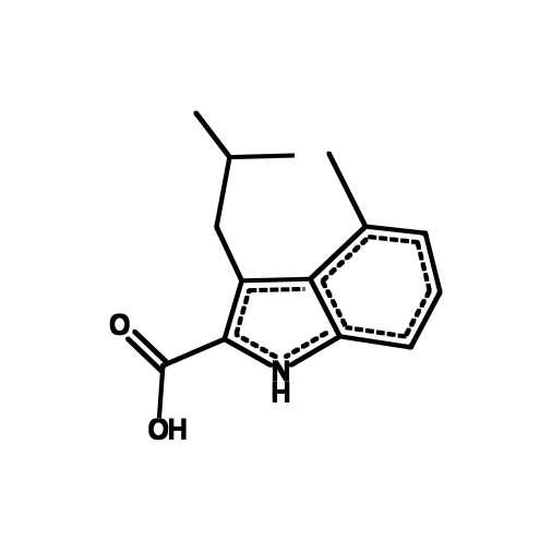 Cc1cccc2[nH]c(C(=O)O)c(CC(C)C)c12